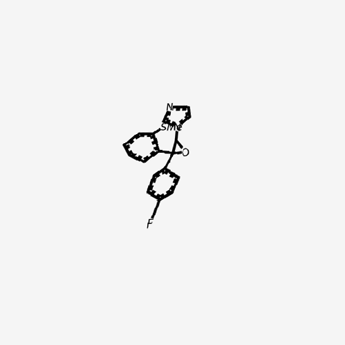 CSc1ccccc1C1(c2ccc(F)cc2)OC1n1ccnc1